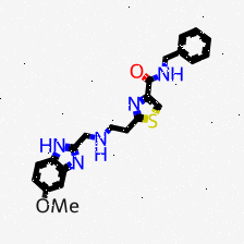 COc1ccc2[nH]c(CNCCc3nc(C(=O)NCc4ccccc4)cs3)nc2c1